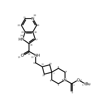 C=C(OC(C)(C)C)N1CCC2(CC1)CC(CNC(=O)c1cc3cnccc3[nH]1)C2